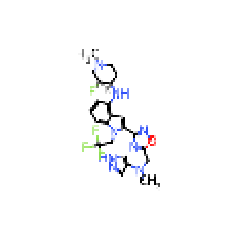 CN1CC[C@@H](Nc2cccc3c2cc(-c2noc(CN(C)c4cn[nH]c4)n2)n3CC(F)(F)F)[C@@H](F)C1